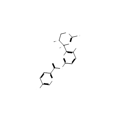 C[C@]1(c2nc(NC(=O)c3ccc(C#N)cn3)ccc2F)N=C(N)O[C@@H](C(F)(F)F)[C@@H]1F